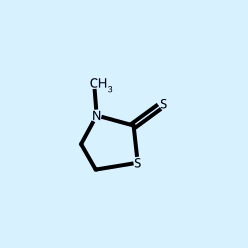 CN1CCSC1=S